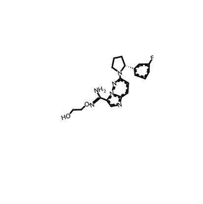 N/C(=N\OCCO)c1cnc2ccc(N3CCC[C@@H]3c3cccc(F)c3)nn12